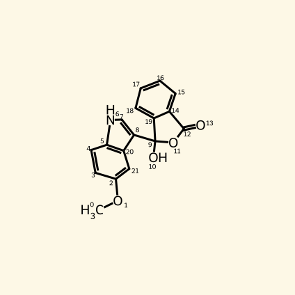 COc1ccc2[nH]cc(C3(O)OC(=O)c4ccccc43)c2c1